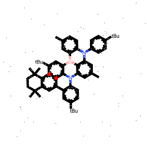 Cc1ccc2c(c1)B1c3cc(C(C)(C)C)ccc3N(c3ccc(C(C)(C)C)cc3-c3ccc4c(c3)C(C)(C)CCC4(C)C)c3cc(C)cc(c31)N2c1ccc(C(C)(C)C)cc1